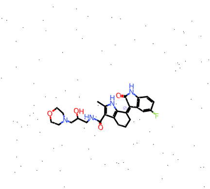 Cc1[nH]c2c(c1C(=O)NCC(O)CN1CCOCC1)CCC/C2=C1/C(=O)Nc2ccc(F)cc21